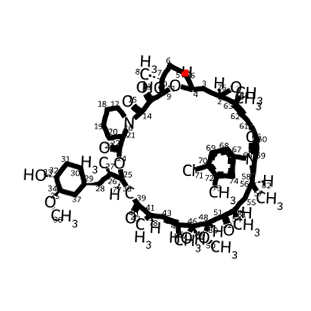 CO[C@H]1C[C@@H]2CC[C@@H](C)[C@@](O)(O2)C(=O)C(=O)N2CCCCC2C(=O)O[C@H]([C@H](C)C[C@@H]2CC[C@@H](O)[C@H](OC)C2)CC(=O)[C@H](C)/C=C(\C)[C@@H](O)[C@@H](OC)C(=O)[C@H](C)C[C@H](C)C2C=CC(/C=C/1C)ON2c1ccc(Cl)c(C)c1